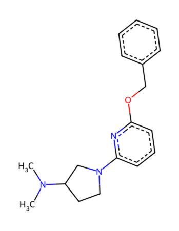 CN(C)C1CCN(c2cccc(OCc3ccccc3)n2)C1